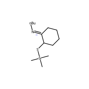 CCCC/N=C1\CCCCC1S[Si](C)(C)C